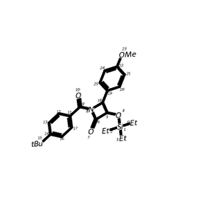 CC[Si](CC)(CC)OC1C(=O)N(C(=O)c2ccc(C(C)(C)C)cc2)C1c1ccc(OC)cc1